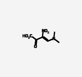 CN(C)/C=C(/C(=O)C(=O)O)[N+](=O)[O-]